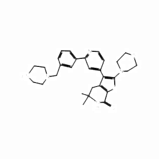 CC1(C)Cc2c(sc(N3CCOCC3)c2-c2ccnc(-c3cccc(CN4CCNCC4)c3)c2)C(=O)N1